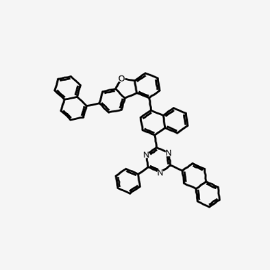 c1ccc(-c2nc(-c3ccc4ccccc4c3)nc(-c3ccc(-c4cccc5oc6cc(-c7cccc8ccccc78)ccc6c45)c4ccccc34)n2)cc1